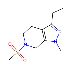 CCc1nn(C)c2c1CCN(S(C)(=O)=O)C2